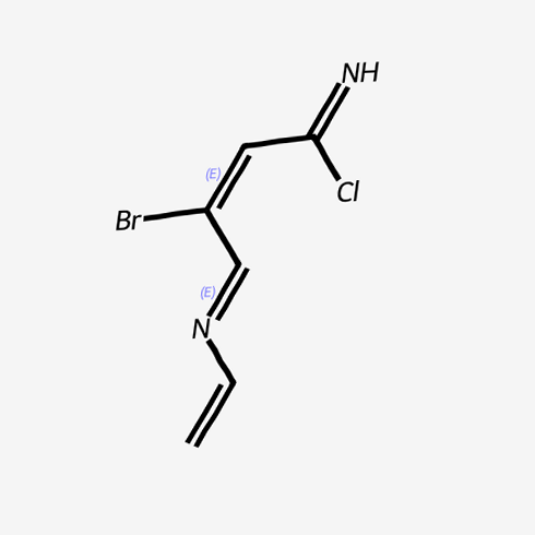 C=C/N=C/C(Br)=C\C(=N)Cl